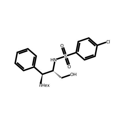 CCCCCC[C@@H](c1ccccc1)[C@@H](CO)NS(=O)(=O)c1ccc(Cl)cc1